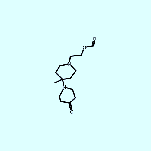 CC1(N2CCC(=O)CC2)CCN(CCOC=O)CC1